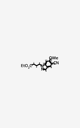 CCOC(=O)CCCn1ncc2cc(C#N)c(OC)cc21